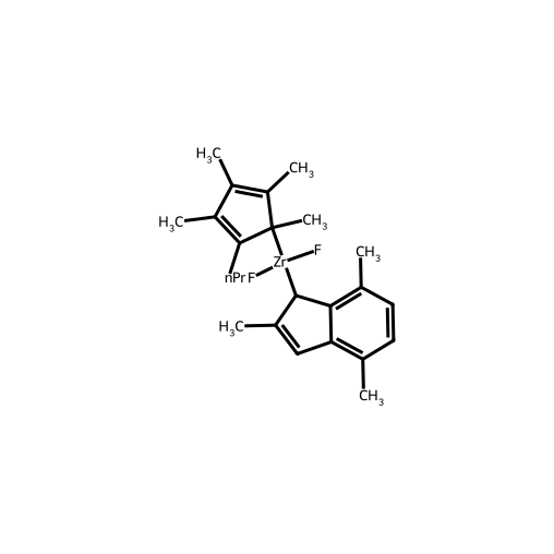 CCCC1=C(C)C(C)=C(C)[C]1(C)[Zr]([F])([F])[CH]1C(C)=Cc2c(C)ccc(C)c21